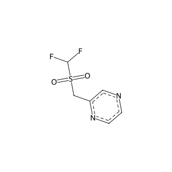 O=S(=O)(Cc1cnccn1)C(F)F